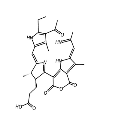 CCc1[nH]c(/C=C2\N=C(C3=c4[nH]/c(=C\C(C)=N)c(C)c4C(=O)OC3=O)[C@@H](CCC(=O)O)[C@@H]2C)c(C)c1C(C)=O